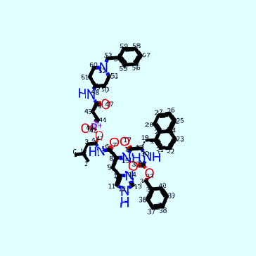 CC(C)CC(NC(=O)C(Cc1c[nH]cn1)NC(=O)[C@H](Cc1cccc2ccccc12)NC(=O)OCc1ccccc1)O/[P+]([O-])=C/CC(=O)NC1CCN(Cc2ccccc2)CC1